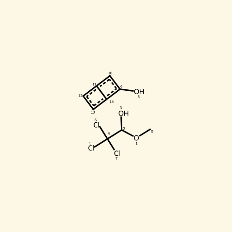 COC(O)C(Cl)(Cl)Cl.Oc1cc2ccc1-2